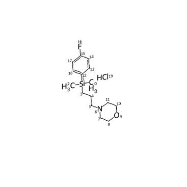 C[Si](C)(CCCN1CCOCC1)c1ccc(F)cc1.Cl